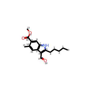 CCCCCc1[nH]c2cc(C(=O)OC)c(C)cc2c1C=O